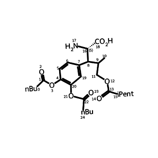 CCCCC(=O)Oc1ccc(C(C(C)COC(=O)C(C)CCC)[C@H](N)C(=O)O)cc1OC(=O)CCCC